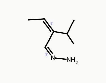 C/C=C(\C=N/N)C(C)C